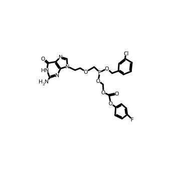 Nc1nc2c(ncn2CCOCP(OCOC(=O)Oc2ccc(F)cc2)OCc2cccc(Cl)c2)c(=O)[nH]1